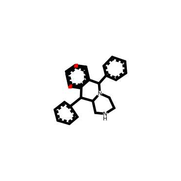 c1ccc(C(c2ccccc2)C2CNCCN2C(c2ccccc2)c2ccccc2)cc1